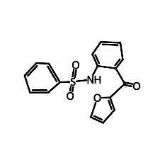 O=C(c1ccco1)c1ccccc1NS(=O)(=O)c1ccccc1